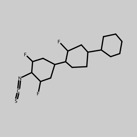 FC1CC(C2CCCCC2)CCC1C1CC(F)C(N=C=S)C(F)C1